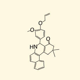 C=CCOc1ccc(C2Nc3ccc4ccccc4c3C3=C2C(=O)CC(C)(C)C3)cc1OC